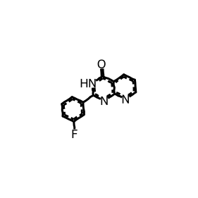 O=c1[nH]c(-c2cccc(F)c2)nc2ncccc12